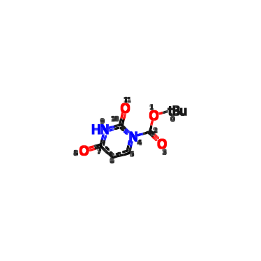 CC(C)(C)OC(=O)n1ccc(=O)[nH]c1=O